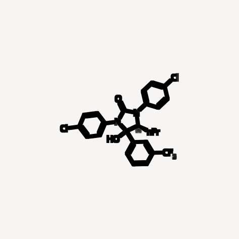 CCC[C@@H]1N(c2ccc(Cl)cc2)C(=O)N(c2ccc(Cl)cc2)C1(O)c1cccc(C(F)(F)F)c1